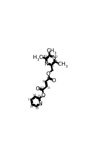 Cc1nc(C)c(COC(=O)/C=C/C(=O)Oc2ccccn2)nc1C